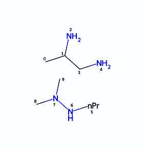 CC(N)CN.CCCNN(C)C